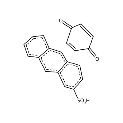 O=C1C=CC(=O)C=C1.O=S(=O)(O)c1ccc2cc3ccccc3cc2c1